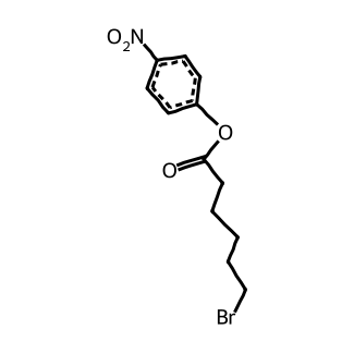 O=C(CCCCCBr)Oc1ccc([N+](=O)[O-])cc1